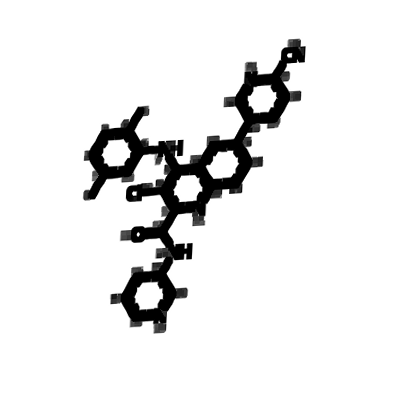 Cc1ccc(C)c(Nc2c(Cl)c(C(=O)Nc3cccnc3)nc3ccc(-c4ccc(C#N)nc4)cc23)c1